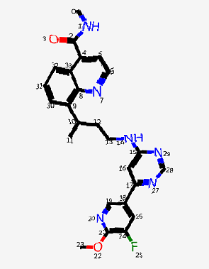 CNC(=O)c1ccnc2c(C(C)CCNc3cc(-c4cnc(OC)c(F)c4)ncn3)cccc12